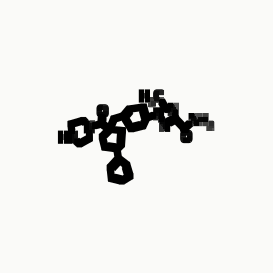 Cc1nc(C(N)=O)nn1-c1ccc(CC2(C(=O)N3CCNCC3)C=CC(c3ccccc3)=CC2)cc1